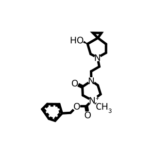 C[N@+]1(C(=O)OCc2ccccc2)CCN(CCN2CCC3(CC3)[C@H](O)C2)C(=O)C1